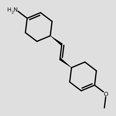 COC1=CC[C@@H](/C=C/[C@@H]2CC=C(N)CC2)CC1